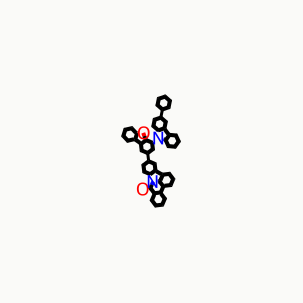 O=c1c2ccccc2c2cccc3c4cc(-c5cc(-n6c7ccccc7c7cc(-c8ccccc8)ccc76)c6oc7ccccc7c6c5)ccc4n1c23